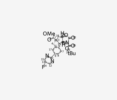 COC(=O)[C@@]1(Cc2cccc(-c3ncc(F)cn3)c2)C[C@@H]2OC(=O)N(C(=O)OC(C)(C)C)[C@@H]2C1